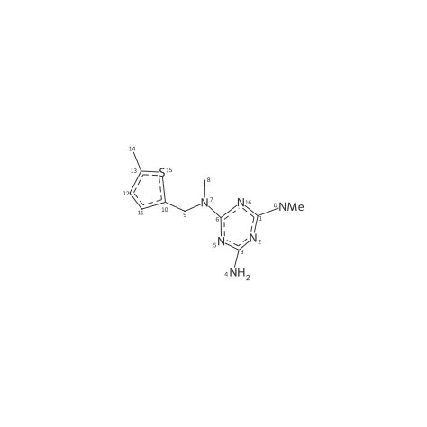 CNc1nc(N)nc(N(C)Cc2ccc(C)s2)n1